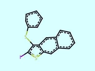 Ic1sc2cc3ccccc3cc2c1Sc1ccccc1